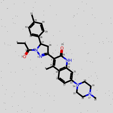 CCC(=O)N1N=C(c2c(C)c3ccc(N4CCN(C)CC4)cc3[nH]c2=O)CC1c1ccc(C)cc1